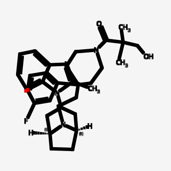 Cc1nc2ccccc2n1C1C[C@H]2CC[C@@H](C1)N2CCC1(c2cccc(F)c2)CCN(C(=O)C(C)(C)CO)CC1